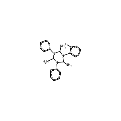 NC1N(c2ccccc2)C(N)N(c2ccccc2F)C(N)N1c1ccccc1